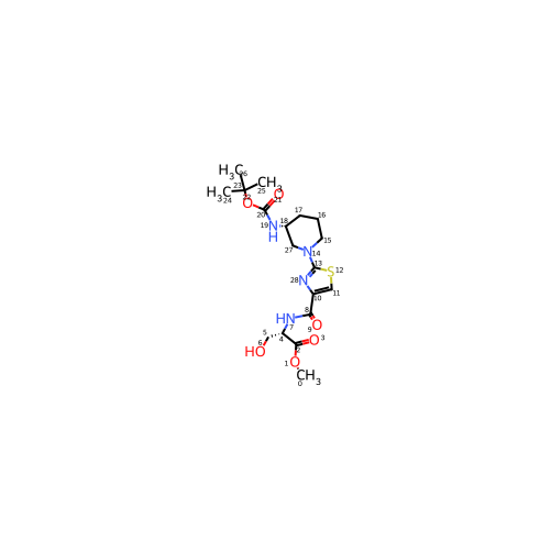 COC(=O)[C@H](CO)NC(=O)c1csc(N2CCC[C@@H](NC(=O)OC(C)(C)C)C2)n1